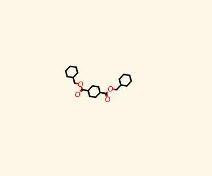 O=C(OCC1CCCCC1)C1CCC(C(=O)OCC2CCCCC2)CC1